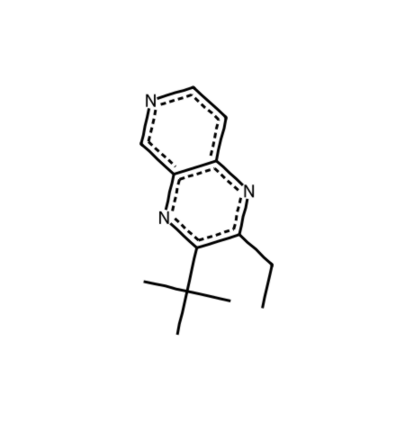 CCc1nc2ccncc2nc1C(C)(C)C